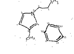 CCCn1ccc(C)c1.c1ccncc1